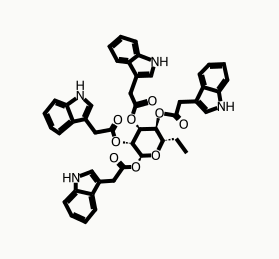 CC[C@@H]1O[C@H](OC(=O)Cc2c[nH]c3ccccc23)[C@H](OC(=O)Cc2c[nH]c3ccccc23)[C@H](OC(=O)Cc2c[nH]c3ccccc23)[C@H]1OC(=O)Cc1c[nH]c2ccccc12